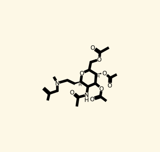 C=C(C)CN(C)CC[C@H]1OC(COC(C)=O)[C@H](OC(C)=O)C(OC(C)=O)C1NC(C)=O